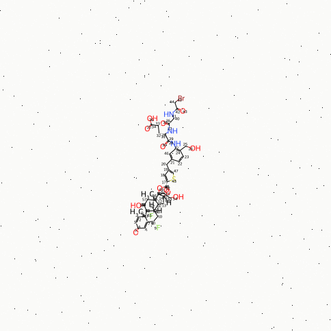 C[C@]12C=CC(=O)C=C1[C@@H](F)C[C@H]1[C@@H]3C[C@H]4O[C@@H](c5cc(Cc6ccc(CO)c(NC(=O)[C@H](CCC(=O)O)NC(=O)CNC(=O)CBr)c6)cs5)O[C@@]4(C(=O)CO)[C@@]3(C)C[C@H](O)[C@@]12F